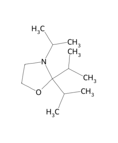 CC(C)N1CCOC1(C(C)C)C(C)C